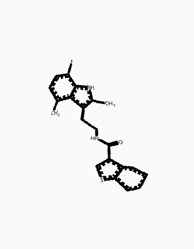 Cc1[nH]c2c(F)ccc(C)c2c1CCNC(=O)c1csc2ccccc12